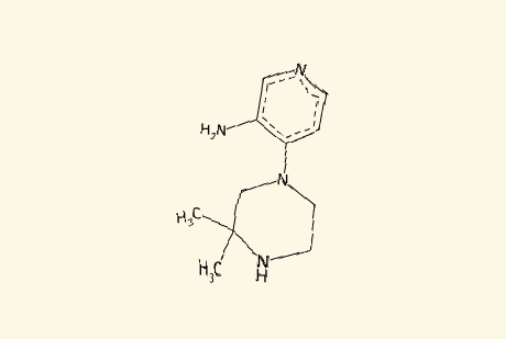 CC1(C)CN(c2ccncc2N)CCN1